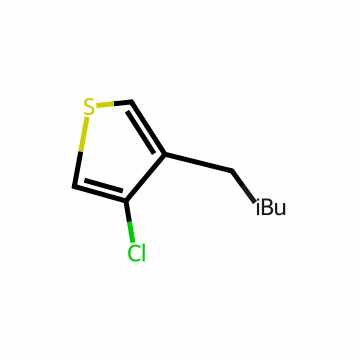 CCC(C)Cc1cscc1Cl